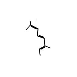 CCOC(=O)C(C)=CC=CC(C)=CC=O